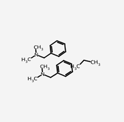 CCC.CN(C)Cc1ccccc1.CN(C)Cc1ccccc1